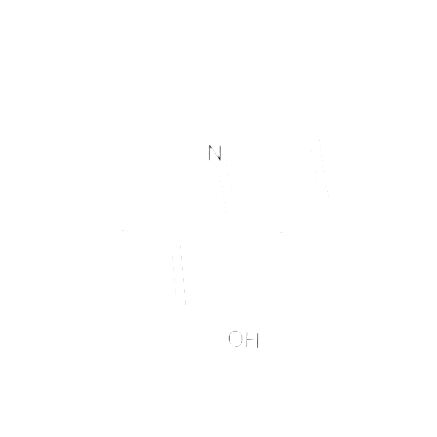 OC1=C(c2ccccn2)C=CC1